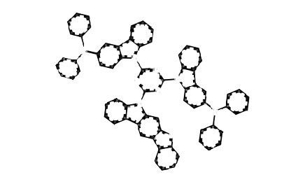 c1ccc(N(c2ccccc2)c2ccc3c(c2)c2ccccc2n3-c2nc(-n3c4ccccc4c4cc(N(c5ccccc5)c5ccccc5)ccc43)nc(-n3c4ccccc4c4cc5c(cc43)oc3ccccc35)n2)cc1